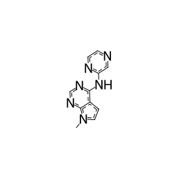 Cn1ccc2c(Nc3cnccn3)ncnc21